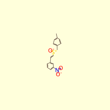 Cc1ccc(C[S+]([O-])C=Cc2cccc([N+](=O)[O-])c2)cc1